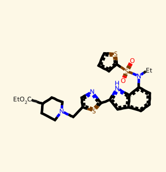 CCOC(=O)C1CCN(Cc2cnc(-c3cc4cccc(N(CC)S(=O)(=O)c5cccs5)c4[nH]3)s2)CC1